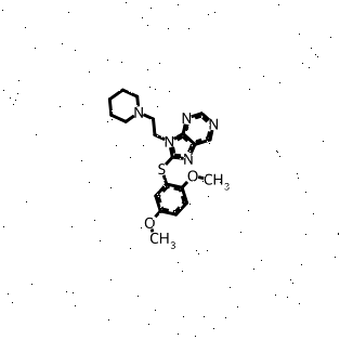 COc1ccc(OC)c(Sc2nc3cncnc3n2CCN2CCCCC2)c1